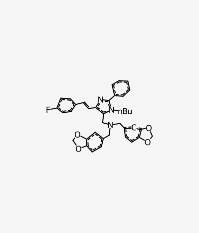 CCCCn1c(-c2ccccc2)nc(C=Cc2ccc(F)cc2)c1CN(Cc1ccc2c(c1)OCO2)Cc1ccc2c(c1)OCO2